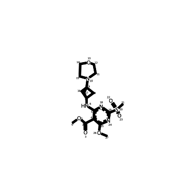 COC(=O)c1c(NC23CC(N4CCOCC4)(C2)C3)nc(S(C)(=O)=O)nc1OC